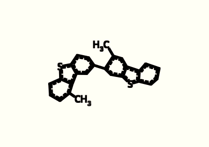 Cc1cc2c(cc1-c1ccc3sc4cccc(C)c4c3c1)sc1ccccc12